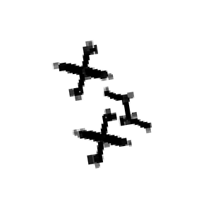 CNOC.O=S(=O)(O)O.O=S(=O)(O)O